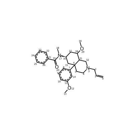 C=CCN1CCC2(c3cccc(OC)c3)C[C@@H](N(C)C(=O)c3ccccc3)CC(OC)C2C1